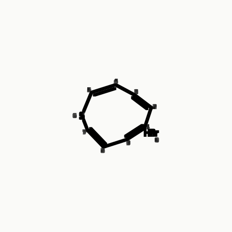 Br.c1ccccsccc1